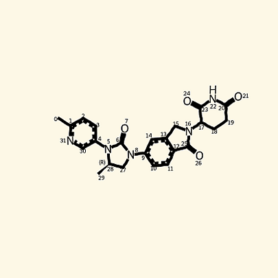 Cc1ccc(N2C(=O)N(c3ccc4c(c3)CN(C3CCC(=O)NC3=O)C4=O)C[C@H]2C)cn1